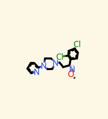 CO/N=C(\CCN1CCN(c2ccccn2)CC1)c1ccc(Cl)cc1Cl